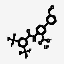 O=Cc1cccc(-c2ccc(NC(=O)c3cc(C(F)(F)F)cc(C(F)(F)F)c3)c(C(=O)[O-])c2)c1.[Li+]